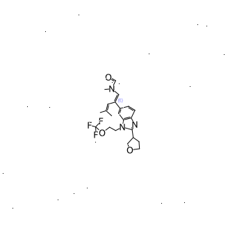 CC(C)=C/C(=C\N(C)C=O)c1ccc2nc(C3CCOC3)n(CCOC(F)(F)F)c2c1